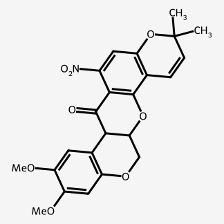 COc1cc2c(cc1OC)C1C(=O)c3c([N+](=O)[O-])cc4c(c3OC1CO2)C=CC(C)(C)O4